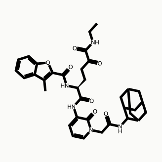 CCNC(=O)C(=O)CC[C@H](NC(=O)c1oc2ccccc2c1C)C(=O)Nc1cccn(CC(=O)NC2C3CC4CC(C3)CC2C4)c1=O